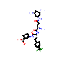 N[C@@H]1C[C@H](N)C[C@H](NC(=O)CC[C@H](N)C(=O)N[C@H](CCc2ccc(C(F)(F)F)cc2)C(=O)Nc2cccc(B(O)O)c2)C1